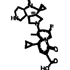 Cc1c(N2CC[C@@H](C3(N(C)C4CCNCC4)CC3)C2)c(F)cn2c(=O)c(C(=O)O)cc(C3CC3)c12